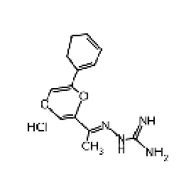 CC(=NNC(=N)N)C1=COC=C(C2=CC=CCC2)O1.Cl